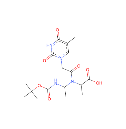 Cc1cn(CC(=O)N(C(C)NC(=O)OC(C)(C)C)C(C)C(=O)O)c(=O)[nH]c1=O